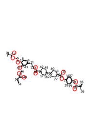 C=CC(=O)OCOc1ccc(CCOC(=O)C2CCC(C3CCC(C(=O)Oc4ccc(OC(=O)C(=C)C)cc4)CC3)CC2)cc1OCOC(=O)C=C